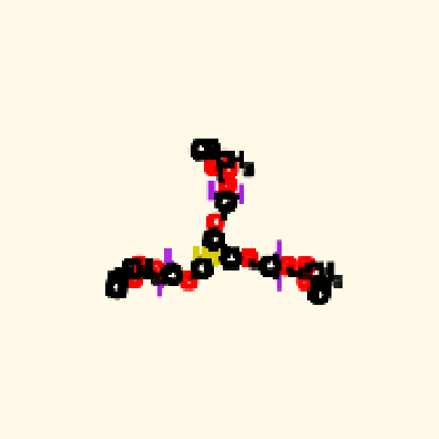 CC1(OC(=O)COc2c(I)cc(COc3ccc4c(c3)-c3cc(OCc5cc(I)c(OCC(=O)OC6(C)C7CC8CC(C7)CC6C8)c(I)c5)ccc3[SH]4c3ccc(Oc4cc(I)c(OCC(=O)OC5(C)C6CC7CC(C6)CC5C7)c(I)c4)cc3)cc2I)C2CC3CC(C2)CC1C3